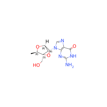 C[C@H]1O[C@@H]2C[C@@]1(CO)O[C@H]2n1cnc2c(=O)[nH]c(N)nc21